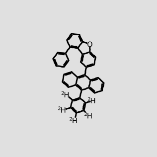 [2H]c1c([2H])c([2H])c(-c2c3ccccc3c(-c3ccc4oc5cccc(-c6ccccc6)c5c4c3)c3ccccc23)c([2H])c1[2H]